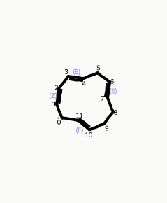 [CH]1/C=C\C=C\C/C=C/CC/C=C/1